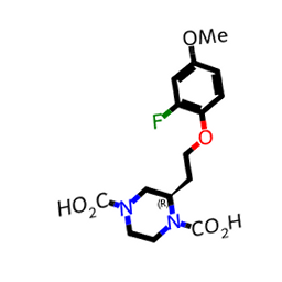 COc1ccc(OCC[C@@H]2CN(C(=O)O)CCN2C(=O)O)c(F)c1